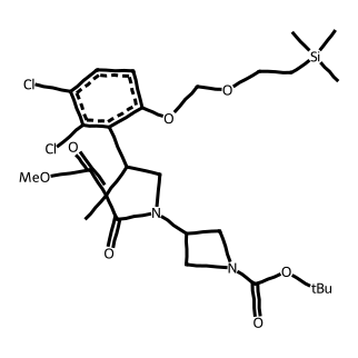 COC(=O)C1(C)C(=O)N(C2CN(C(=O)OC(C)(C)C)C2)CC1c1c(OCOCC[Si](C)(C)C)ccc(Cl)c1Cl